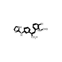 CCc1cccc(C=C(C(=O)O)c2cccc(NC3=NCCN3)c2)c1NC=O